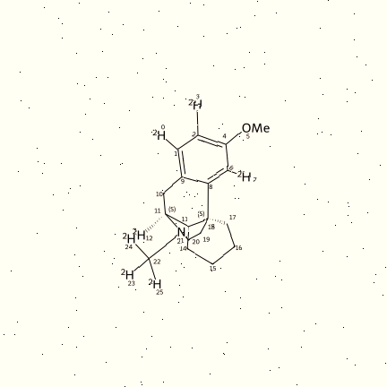 [2H]c1c([2H])c(OC)c([2H])c2c1C[C@@]1([2H])C3CCCC[C@@]23CCN1C([2H])([2H])[2H]